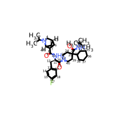 CC(C)N1C[C@H]2CC(C(=O)N[C@H](Cc3ccc(F)cc3)C(=O)N3CCC(C(=O)NC(C)(C)C)(C4CCCCC4)CC3)[C@@H]1C2